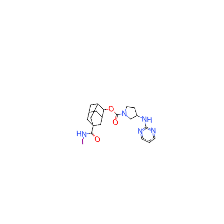 O=C(OC1C2CC3CC1CC(C(=O)NI)(C3)C2)N1CCC(Nc2ncccn2)C1